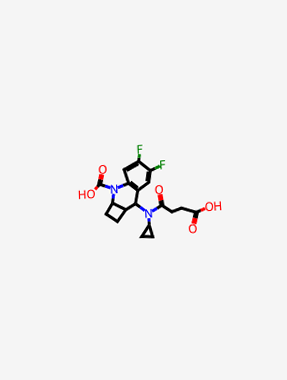 O=C(O)CCC(=O)N(C1CC1)C1c2cc(F)c(F)cc2N(C(=O)O)C2CCC21